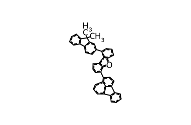 CC1(C)c2ccccc2-c2ccc(-c3cccc4oc5c(-c6ccc7c8c(cccc68)-c6ccccc6-7)cccc5c34)cc21